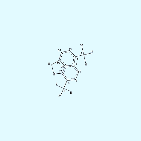 CC(C)(C)c1ccc2c(C(C)(C)C)ccc3c2c1CC3